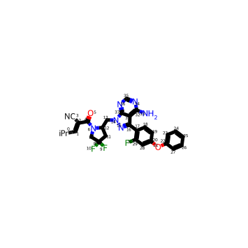 CC(C)C=C(C#N)C(=O)N1CC(F)(F)CC1Cn1nc(-c2ccc(Oc3ccccc3)cc2F)c2c(N)ncnc21